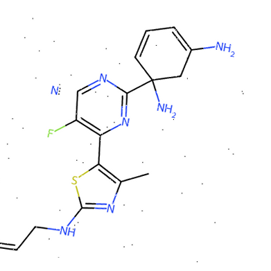 C=CCNc1nc(C)c(-c2nc(C3(N)C=CC=C(N)C3)ncc2F)s1.[N]